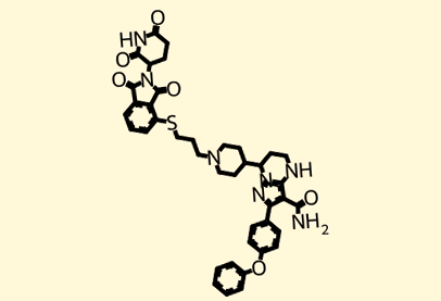 NC(=O)c1c(-c2ccc(Oc3ccccc3)cc2)nn2c1NCCC2C1CCN(CCCSc2cccc3c2C(=O)N(C2CCC(=O)NC2=O)C3=O)CC1